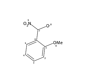 COc1ccccc1C([O])[N+](=O)[O-]